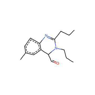 CCCC1=Nc2ccc(C)cc2C(C=O)N1CCC